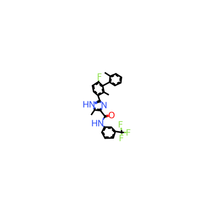 Cc1ccccc1-c1c(F)ccc(-c2nc(C(=O)Nc3cccc(C(F)(F)F)c3)c(C)[nH]2)c1C